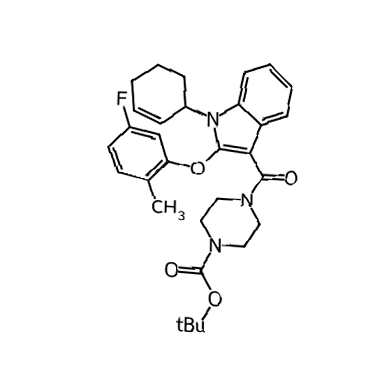 Cc1ccc(F)cc1Oc1c(C(=O)N2CCN(C(=O)OC(C)(C)C)CC2)c2ccccc2n1C1C=CCCC1